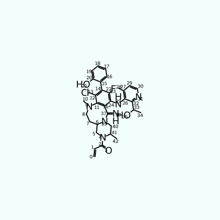 C=CC(=O)N1CC2CCN(C)c3c(Cl)c(-c4ccccc4O)c(F)c(Nc4c(C)ccnc4C(C)O)c3C(=N)N2CC1C